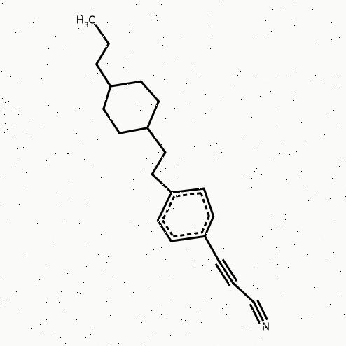 CCCC1CCC(CCc2ccc(C#CC#N)cc2)CC1